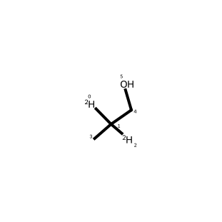 [2H]C([2H])(C)CO